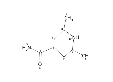 CC1CC(C(N)=O)CC(C)N1